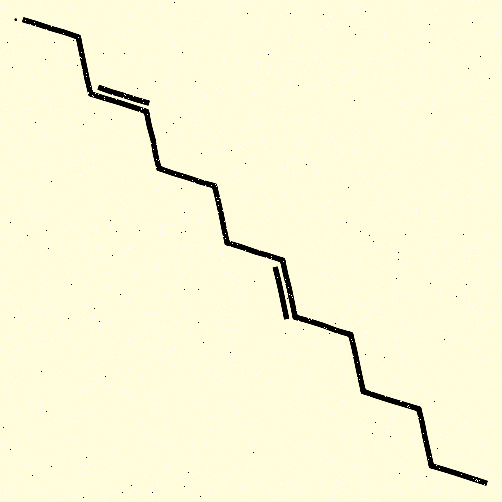 [CH2]CC=CCCCC=CCCCCC